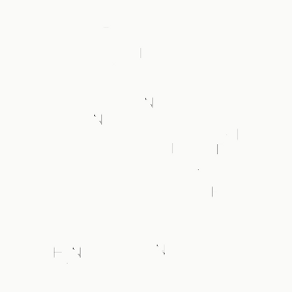 Cl.NCc1cc(-c2cnc(C(F)(F)F)nc2)c(C(F)(F)F)cn1